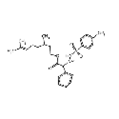 CC(C)=CCCC(C)CCOC(=O)C(NNS(=O)(=O)c1ccc(C)cc1)c1ccccc1